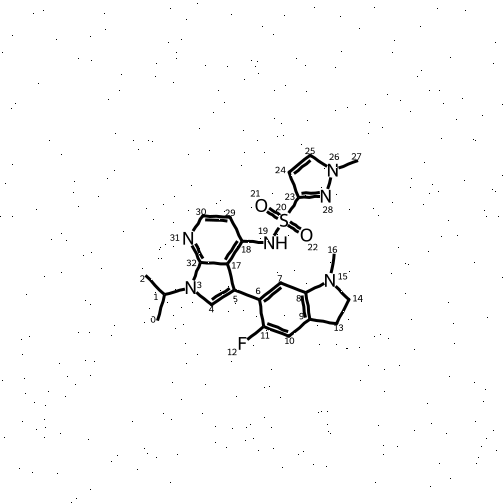 CC(C)n1cc(-c2cc3c(cc2F)CCN3C)c2c(NS(=O)(=O)c3ccn(C)n3)ccnc21